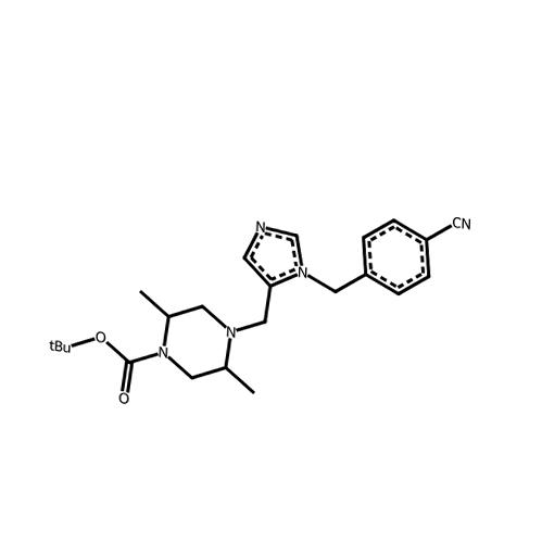 CC1CN(C(=O)OC(C)(C)C)C(C)CN1Cc1cncn1Cc1ccc(C#N)cc1